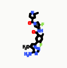 Cc1cc(C(=O)N2C[C@H](F)[C@H](NC(=O)c3cc(-c4cc(C(F)(F)F)c5c(N)ncnn45)c(F)cc3C)C2)ccn1